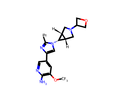 CC(C)c1nc(-c2cnc(N)c(OC(F)(F)F)c2)cn1[C@@H]1[C@@H]2CN(C3COC3)C[C@@H]21